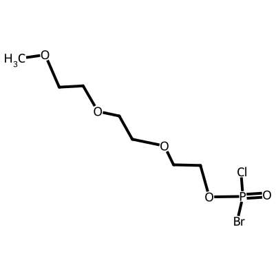 COCCOCCOCCOP(=O)(Cl)Br